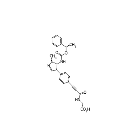 C[C@@H](OC(=O)Nc1c(-c2ccc(C#CC(=O)NCC(=O)O)cc2)cnn1C)c1ccccc1